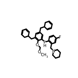 COCOc1c(CC2C=CC=CC2)cc(CC2C=CC=CC2)cc1Pc1ccc(F)cc1CN1CCCCC1